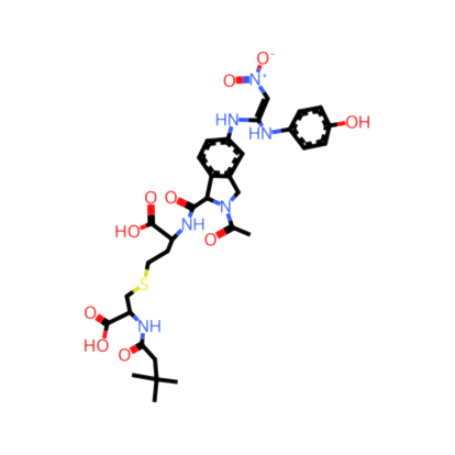 CC(=O)N1Cc2cc(NC(=C[N+](=O)[O-])Nc3ccc(O)cc3)ccc2C1C(=O)NC(CCSCC(NC(=O)CC(C)(C)C)C(=O)O)C(=O)O